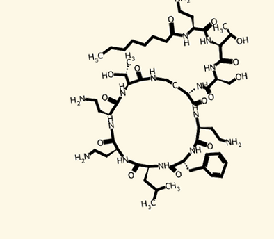 CCCCCCCC(=O)N[C@@H](CCN)C(=O)N[C@H](C(=O)N[C@@H](CO)C(=O)N[C@H]1CCNC(=O)[C@H]([C@@H](C)O)NC(=O)[C@H](CCN)NC(=O)[C@H](CCN)NC(=O)[C@H](CC(C)C)NC(=O)[C@@H](Cc2ccccc2)NC(=O)[C@H](CCN)NC1=O)[C@@H](C)O